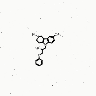 Cc1ccc2c(c1)c1c(n2CC(O)COc2ccccc2)CCN(C#N)C1